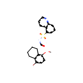 COc1ccc(Br)c2c1[C@@H](C(=O)NS(=O)(=O)c1cccc3ncccc13)CCC2